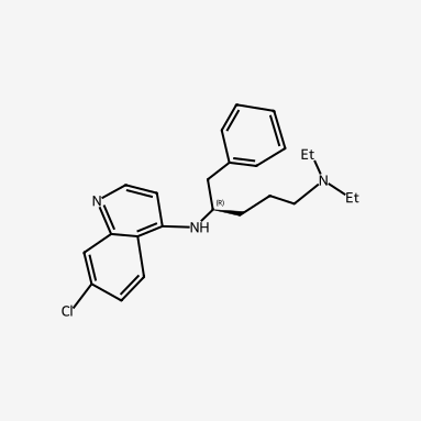 CCN(CC)CCC[C@H](Cc1ccccc1)Nc1ccnc2cc(Cl)ccc12